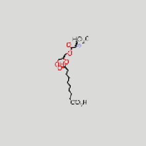 O=C(O)/C=C\C(=O)OCC(CO)OC(=O)CCCCCCCCC(=O)O